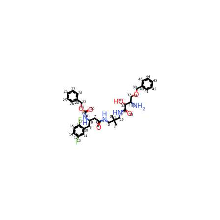 CC(C)(CNC(=O)CC(Cc1cc(F)ccc1F)NC(=O)OCc1ccccc1)CNC(=O)C(O)C(N)COCc1ccccc1